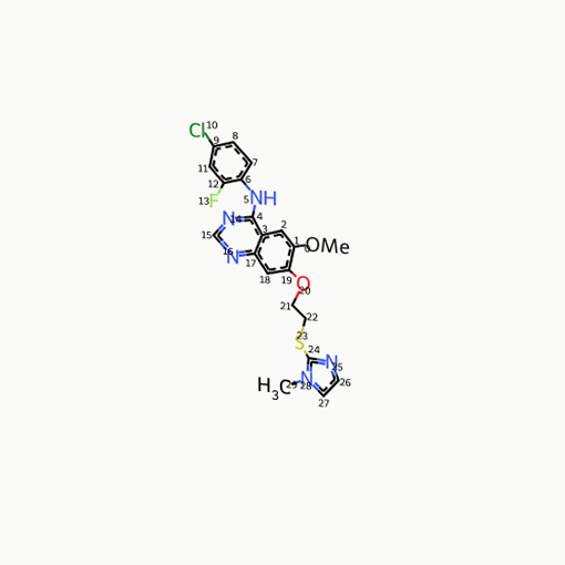 COc1cc2c(Nc3ccc(Cl)cc3F)ncnc2cc1OCCSc1nccn1C